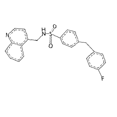 O=S(=O)(NCc1ccnc2ccccc12)c1ccc(Cc2ccc(F)cc2)cc1